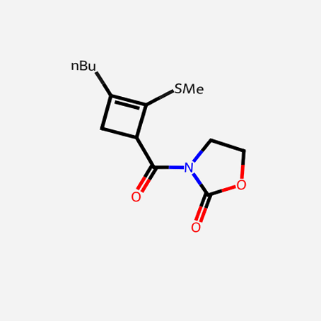 CCCCC1=C(SC)C(C(=O)N2CCOC2=O)C1